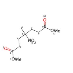 COC(=O)CCC(C)(CCC(=O)OC)[N+](=O)[O-]